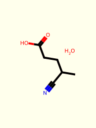 CC(C#N)CCC(=O)O.O